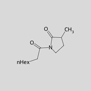 CCCCCCCC(=O)N1CCC(C)C1=O